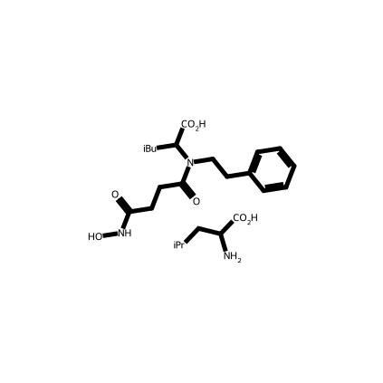 CC(C)CC(N)C(=O)O.CCC(C)C(C(=O)O)N(CCc1ccccc1)C(=O)CCC(=O)NO